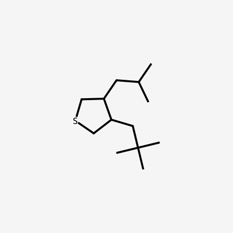 CC(C)CC1CSCC1CC(C)(C)C